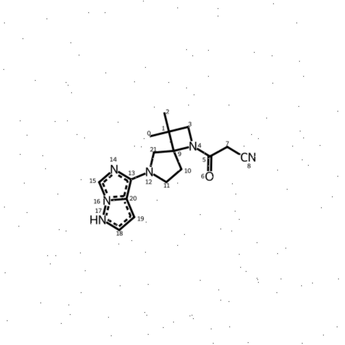 CC1(C)CN(C(=O)CC#N)C12CCN(c1ncn3[nH]ccc13)C2